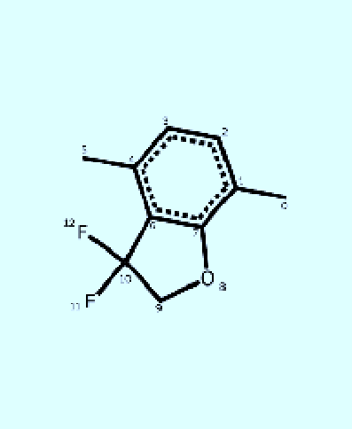 Cc1ccc(C)c2c1OCC2(F)F